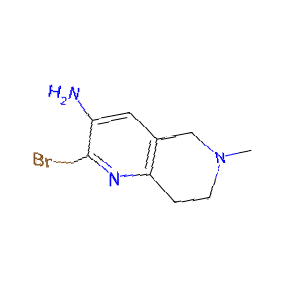 CN1CCc2nc(Br)c(N)cc2C1